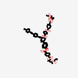 C#Cc1ccc(C#Cc2ccc(C#CC3(OC(=O)c4ccc(OC(=O)C5CCC(C(=O)OC(C)C(C)OC(=O)C=C)CC5)cc4)CCC(c4ccc(OC(=O)C5CCC(C(=O)OC(C)(C)CC(C)OC(=O)C=C)CC5)cc4)CC3)cc2)cc1